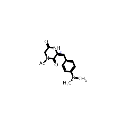 CC(=O)N1CC(=O)N/C(=C/c2ccc(N(C)C)cc2)C1=O